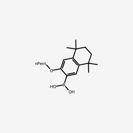 CCCCCOc1cc2c(cc1B(O)O)C(C)(C)CCC2(C)C